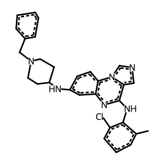 Cc1cccc(Cl)c1Nc1nc2cc(NC3CCN(Cc4ccccc4)CC3)ccc2n2cncc12